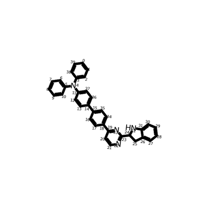 c1ccc(N(c2ccccc2)c2ccc(-c3ccc(-c4ccnc(C5Cc6ccccc6N5)n4)cc3)cc2)cc1